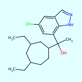 CCC1CCC(C(C)(O)c2cc(Cl)cc3cn[nH]c23)CC(CC)C1